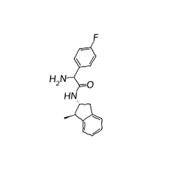 C[C@@H]1c2ccccc2C[C@H]1NC(=O)C(N)c1ccc(F)cc1